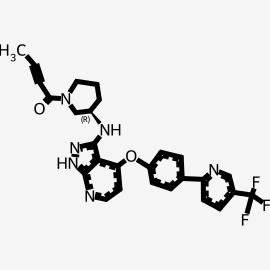 CC#CC(=O)N1CCC[C@@H](Nc2n[nH]c3nccc(Oc4ccc(-c5ccc(C(F)(F)F)cn5)cc4)c23)C1